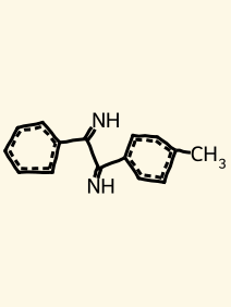 Cc1ccc(C(=N)C(=N)c2ccccc2)cc1